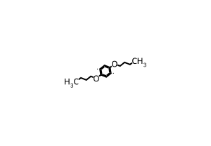 CCCCOc1[c]cc(OCCCC)[c]c1